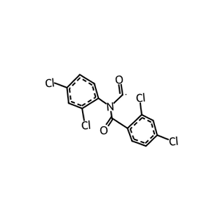 O=[C]N(C(=O)c1ccc(Cl)cc1Cl)c1ccc(Cl)cc1Cl